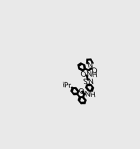 CC(C)c1ccc(-c2ccccc2C(=O)Nc2ccc3nc(C(=O)NC(C(=O)N4CCCC4)c4ccccc4)sc3c2)cc1